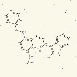 Cc1oc2ccccc2c1-c1ccc2c(OCc3ccccc3)ccc(C3CC3)c2n1